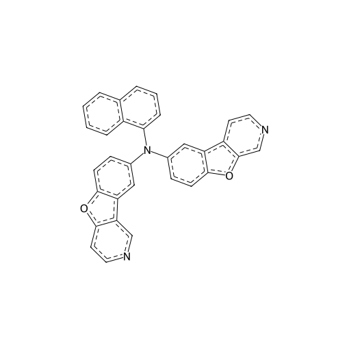 c1ccc2c(N(c3ccc4oc5cnccc5c4c3)c3ccc4oc5ccncc5c4c3)cccc2c1